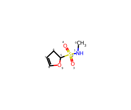 CNS(=O)(=O)C1CC=CO1